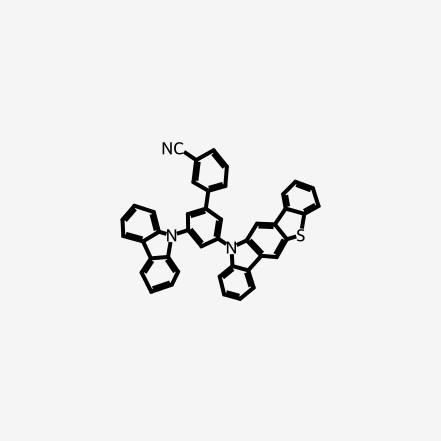 N#Cc1cccc(-c2cc(-n3c4ccccc4c4ccccc43)cc(-n3c4ccccc4c4cc5sc6ccccc6c5cc43)c2)c1